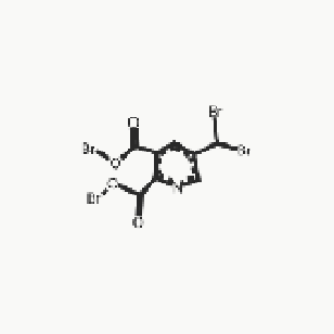 O=C(OBr)c1cc(C(Br)Br)cnc1C(=O)OBr